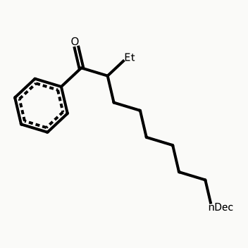 CCCCCCCCCCCCCCCCC(CC)C(=O)c1ccccc1